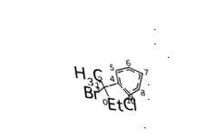 CCC(C)(Br)c1ccccc1Cl